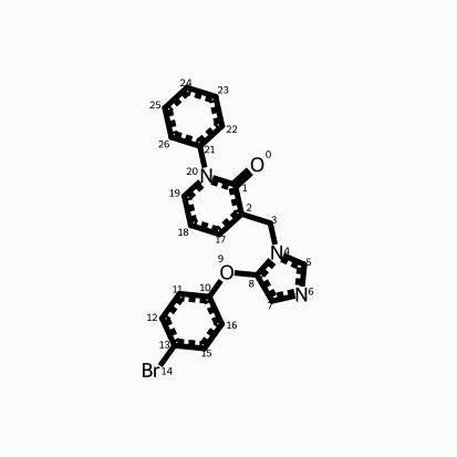 O=c1c(Cn2cncc2Oc2ccc(Br)cc2)cccn1-c1ccccc1